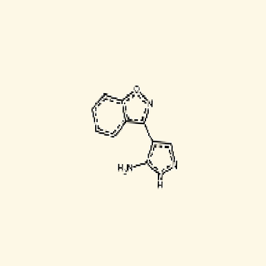 Nc1[nH]ncc1-c1noc2ccccc12